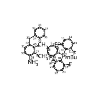 CCCC[B-](c1c(F)cccc1F)(c1c(F)cccc1F)c1c(F)cccc1F.Cc1c([NH3+])ccc(Cc2ccccc2)c1C